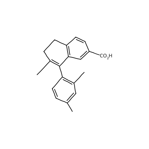 CC1=C(c2ccc(C)cc2C)c2cc(C(=O)O)ccc2CC1